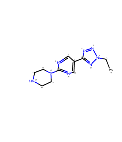 CC(=O)Cn1nnc(-c2cnc(N3CCNCC3)nc2)n1